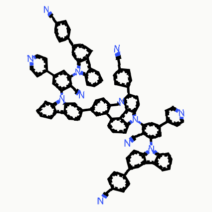 N#Cc1ccc(-c2ccc3c(c2)c2ccccc2n3-c2cc(-c3ccncc3)cc(-n3c4ccc(-c5ccc(C#N)cc5)cc4c4c(-c5cc(-c6ccc7c8ccccc8n(-c8cc(-c9ccncc9)cc(-n9c%10ccccc%10c%10ccc(-c%11ccc(C#N)cc%11)cc%109)c8C#N)c7c6)ccc5C#N)cccc43)c2C#N)cc1